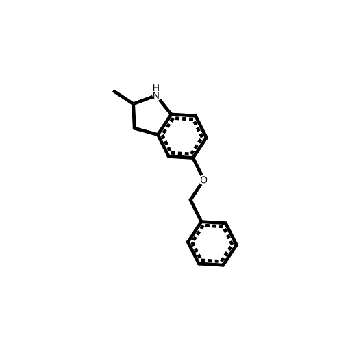 CC1Cc2cc(OCc3ccccc3)ccc2N1